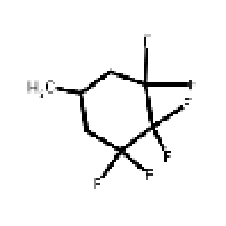 CC1CC(F)(F)C(F)(F)C(F)(F)C1